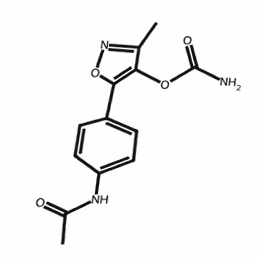 CC(=O)Nc1ccc(-c2onc(C)c2OC(N)=O)cc1